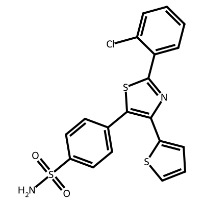 NS(=O)(=O)c1ccc(-c2sc(-c3ccccc3Cl)nc2-c2cccs2)cc1